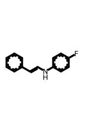 Fc1ccc(NC=Cc2ccccc2)cc1